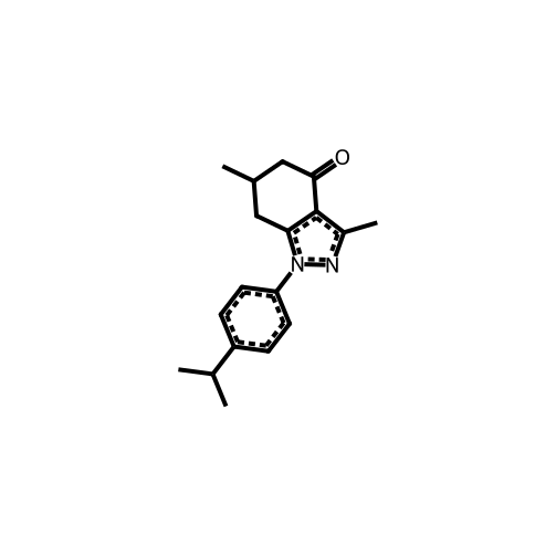 Cc1nn(-c2ccc(C(C)C)cc2)c2c1C(=O)CC(C)C2